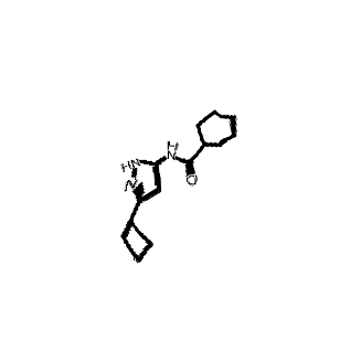 O=C(Nc1cc(C2C[CH]C2)n[nH]1)C1CCCCC1